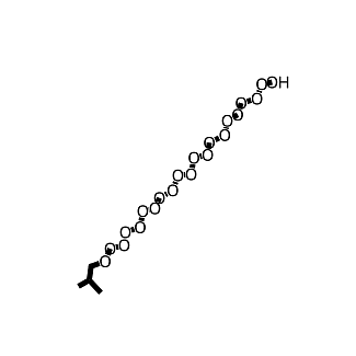 CC(C)COOOOOOOOOOOOOOOOOOOOO